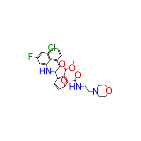 COC(=O)C1=C(C(=O)NCCN2CCOCC2)C2C=CC1(C(Cc1ccccc1)Nc1cc(F)cc(Cl)c1)O2